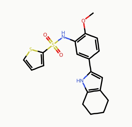 COc1ccc(-c2cc3c([nH]2)CCCC3)cc1NS(=O)(=O)c1cccs1